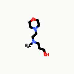 CN(CCCO)CCN1CCOCC1